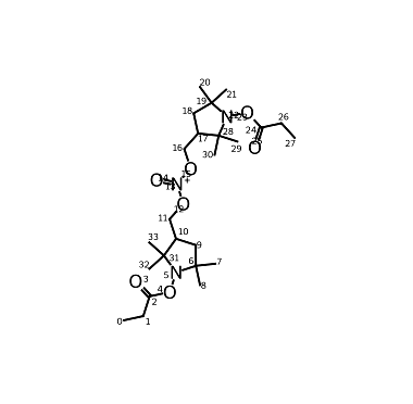 CCC(=O)ON1C(C)(C)CC(CO[N+](=O)OCC2CC(C)(C)N(OC(=O)CC)C2(C)C)C1(C)C